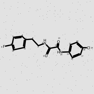 O=C(NCCc1ccc(F)cc1)C(=O)Nc1ccc(Cl)cc1